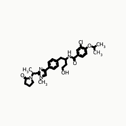 CC(C)Oc1ccc(C(=O)NC(CCO)Cc2ccc(-c3cn(C)c([C@@H](C)N4CCCC4=O)n3)cc2)cc1Cl